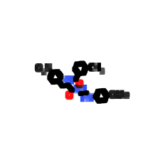 COc1ccc(NCCNC(=O)C(Cc2ccc([N+](=O)[O-])cc2)NC(=O)c2cccc(C)c2)cc1